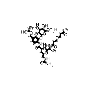 CC(C)C(=O)CCOCCC(=O)N[C@H](C(=O)N[C@@H](CCCNC(N)=O)C(=O)Nc1ccc(COC(O)C(C)C)cc1O[C@@H]1O[C@H](C(=O)O)[C@@H](O)[C@H](O)[C@H]1O)C(C)C